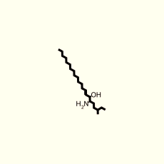 CCCCCCCCCCCCC/C=C/[C@@H](O)[C@@H](N)CCC(C)CC